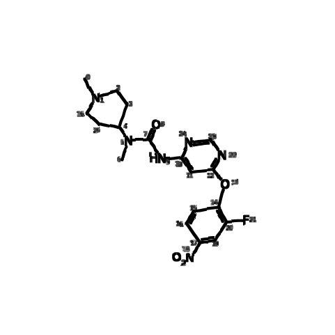 CN1CCC(N(C)C(=O)Nc2cc(Oc3ccc([N+](=O)[O-])cc3F)ncn2)CC1